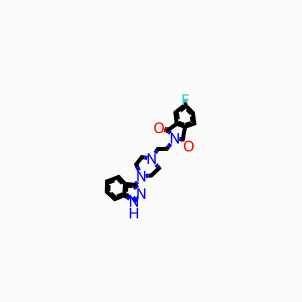 O=C1c2ccc(F)cc2C(=O)N1CCN1CCN(c2n[nH]c3ccccc23)CC1